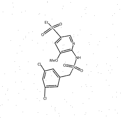 CCS(=O)(=O)c1cnc(NS(=O)(=O)Cc2cc(Cl)cc(Cl)c2)c(OC)c1